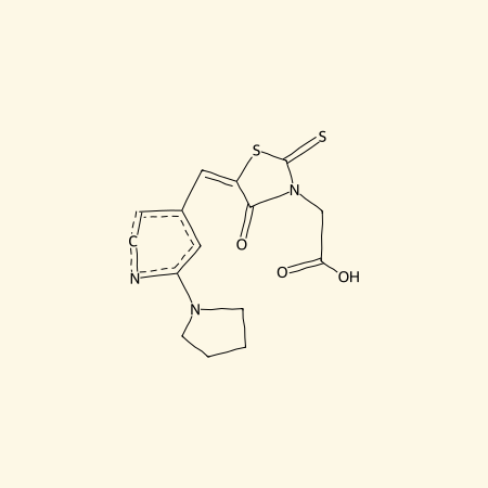 O=C(O)CN1C(=O)/C(=C\c2ccnc(N3CCCC3)c2)SC1=S